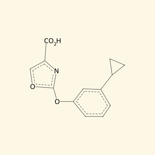 O=C(O)c1coc(Oc2cccc(C3CC3)c2)n1